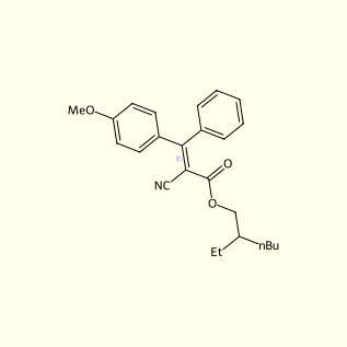 CCCCC(CC)COC(=O)/C(C#N)=C(\c1ccccc1)c1ccc(OC)cc1